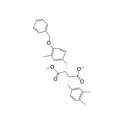 COC(=O)[C@H](Cc1ccc(C)c(C)c1)[C@@H](Cc1ccc(OCc2ccccc2)c(C)c1)C(=O)OC